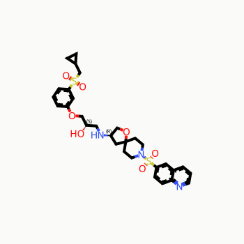 O=S(=O)(CC1CC1)c1cccc(OC[C@@H](O)CN[C@H]2COC3(CCN(S(=O)(=O)c4ccc5ncccc5c4)CC3)C2)c1